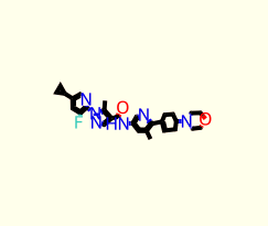 Cc1cc(NC(=O)c2cnn(-c3ncc(C4CC4)cc3F)c2C)cnc1C1=CCC(N2CCOCC2)CC1